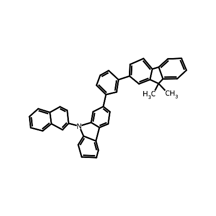 CC1(C)c2ccccc2-c2ccc(-c3cccc(-c4ccc5c6ccccc6n(-c6ccc7ccccc7c6)c5c4)c3)cc21